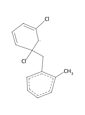 Cc1ccccc1CC1(Cl)[CH]C(Cl)=CC=C1